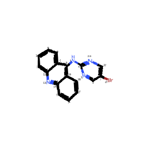 Brc1cnc(Nc2c3ccccc3nc3ccccc23)nc1